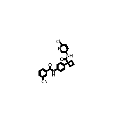 N#Cc1cccc(C(=O)Nc2ccc(C3(C(=O)Nc4ccc(Cl)nc4)CCC3)cc2)c1